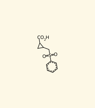 O=C(O)C1CC1CS(=O)(=O)c1ccccc1